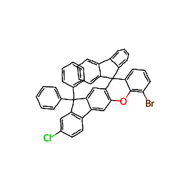 Clc1ccc2c(c1)C(c1ccccc1)(c1ccccc1)c1cc3c(cc1-2)Oc1c(Br)cccc1C31c2ccccc2-c2ccccc21